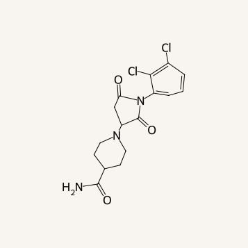 NC(=O)C1CCN(C2CC(=O)N(c3cccc(Cl)c3Cl)C2=O)CC1